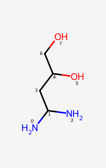 NC(N)CC(O)CO